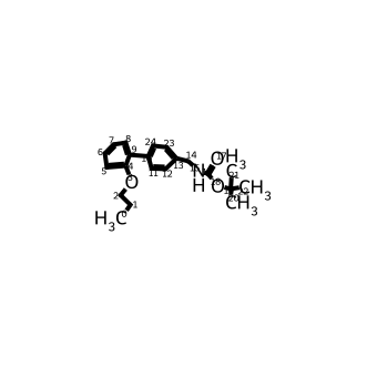 CCCOc1ccccc1-c1ccc(CNC(=O)OC(C)(C)C)cc1